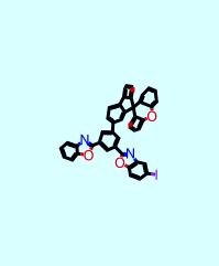 Ic1ccc2oc(-c3cc(-c4ccc5c(c4)C4(c6ccccc6Oc6ccccc64)c4ccccc4-5)cc(-c4nc5ccccc5o4)c3)nc2c1